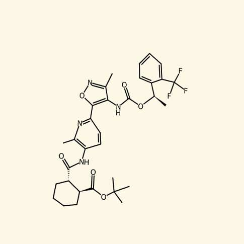 Cc1nc(-c2onc(C)c2NC(=O)O[C@H](C)c2ccccc2C(F)(F)F)ccc1NC(=O)[C@H]1CCCC[C@@H]1C(=O)OC(C)(C)C